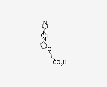 O=C(O)CCCCOc1cccc(N2CCN(c3ccncc3)CC2)c1